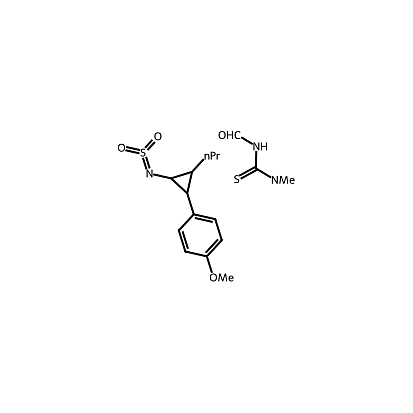 CCCC1C(N=S(=O)=O)C1c1ccc(OC)cc1.CNC(=S)NC=O